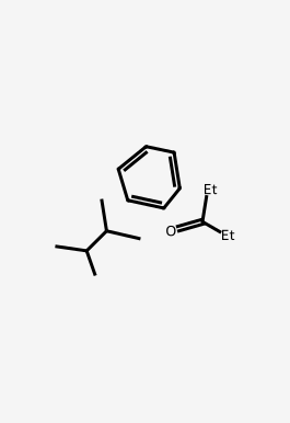 CC(C)C(C)C.CCC(=O)CC.c1ccccc1